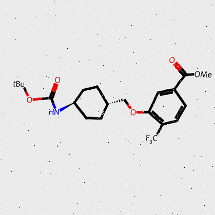 COC(=O)c1ccc(C(F)(F)F)c(OC[C@H]2CC[C@H](NC(=O)OC(C)(C)C)CC2)c1